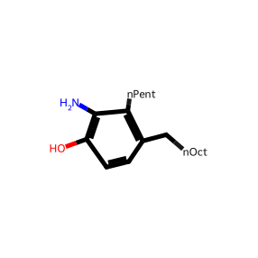 CCCCCCCCCc1ccc(O)c(N)c1CCCCC